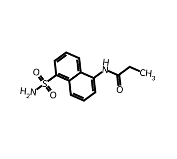 CCC(=O)Nc1cccc2c(S(N)(=O)=O)cccc12